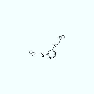 c1cc(SCC2CO2)cc(SCC2CO2)c1